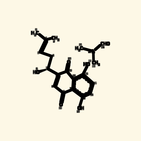 CC(C)=CC[C@@H](O)C1=CC(=O)c2c(O)ccc(O)c2C1=O.CN(C)C=O